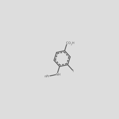 CCCNc1ccc(C(=O)O)cc1I